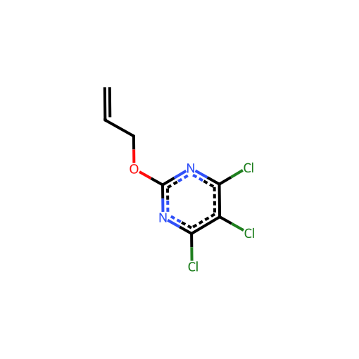 C=CCOc1nc(Cl)c(Cl)c(Cl)n1